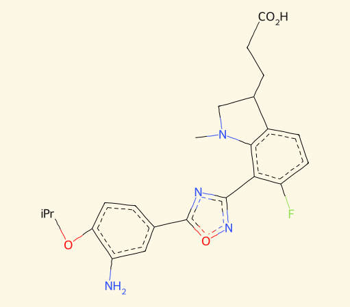 CC(C)Oc1ccc(-c2nc(-c3c(F)ccc4c3N(C)CC4CCC(=O)O)no2)cc1N